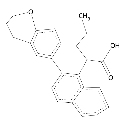 CCCC(C(=O)O)c1c(-c2ccc3c(c2)CCCO3)ccc2ccccc12